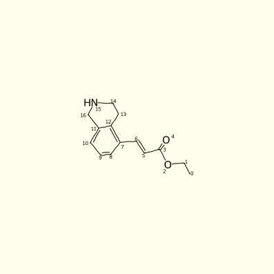 CCOC(=O)/C=C/c1cccc2c1CCNC2